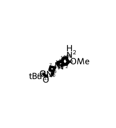 COc1cc2nn([C@@H]3CC4C3CN4C(=O)OC(C)(C)C)cc2cc1N